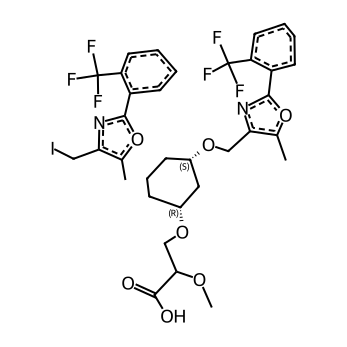 COC(CO[C@@H]1CCC[C@H](OCc2nc(-c3ccccc3C(F)(F)F)oc2C)C1)C(=O)O.Cc1oc(-c2ccccc2C(F)(F)F)nc1CI